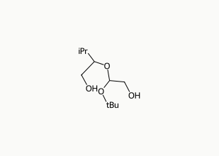 CC(C)C(CO)OC(CO)OC(C)(C)C